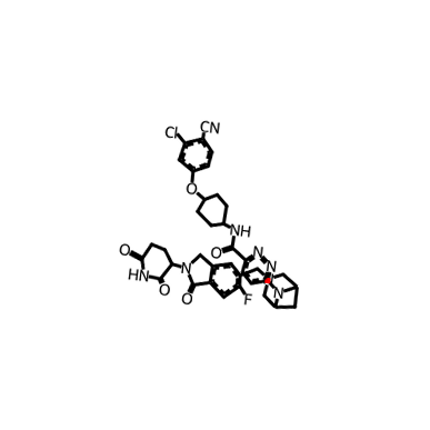 N#Cc1ccc(OC2CCC(NC(=O)c3ccc(N4C5CC4CN(Cc4cc6c(cc4F)C(=O)N(C4CCC(=O)NC4=O)C6)C5)nn3)CC2)cc1Cl